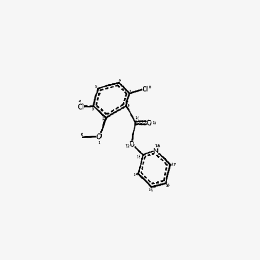 COc1c(Cl)ccc(Cl)c1C(=O)Oc1ccccn1